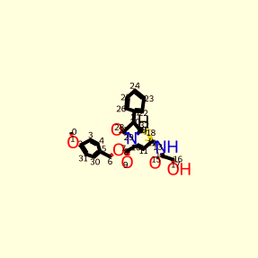 COc1ccc(COC(=O)C2=CC(NC(=O)CO)S[C@@H]3C(c4ccccc4)C(=O)N23)cc1